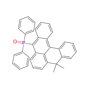 CC1(C)c2ccccc2-c2c3ccccc3c(P(=O)(c3ccccc3)c3ccccc3)c3cccc1c23